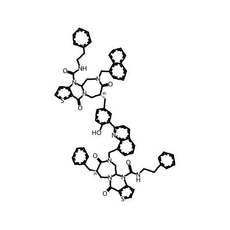 O=C1[C@H](Cc2ccc(O)c(-c3ccc4cccc(CN5CC6N(C[C@@H](Cc7ccccc7)C5=O)C(=O)c5sccc5N6C(=O)NCCc5ccccc5)c4n3)c2)CN2C(=O)c3sccc3N(C(=O)NCCc3ccccc3)C2CN1Cc1cccc2ccccc12